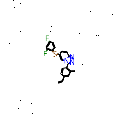 C=Cc1ccc(-c2nnc3ccc(Sc4ccc(F)cc4F)cn23)c(C)c1